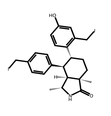 C[C@H]1NC(=O)[C@]2(C)CC[C@@H](c3ccc(O)cc3CI)[C@H](c3ccc(CI)cc3)[C@H]12